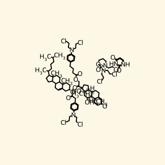 CC(C)CCCC(C)C1CCC2C3CC=C4CC(OC(=O)Cc5ccc(N(CCCl)CCCl)cc5)CCC4(C)C3CCC12C.C[C@]12C=CC(=O)C=C1CC[C@@H]1[C@@H]2[C@@H](O)C[C@@]2(C)[C@H]1CC[C@]2(O)C(=O)COC(=O)CCCc1ccc(N(CCCl)CCCl)cc1.O=P1(N(CCCl)CCCl)OCCCN1CCCl.O=c1cc[nH]c(=O)[nH]1